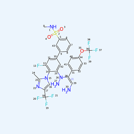 CNS(=O)(=O)c1cccc(-c2cc(F)c(-n3cc(C(F)(F)F)nc3C)c(N(N)/C(=C\N)c3ccc(OC(F)(F)F)cc3)c2)c1